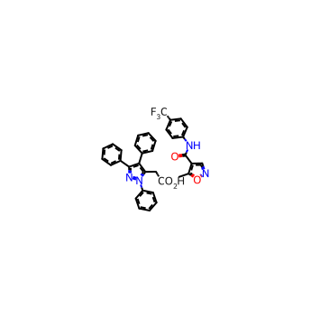 Cc1oncc1C(=O)Nc1ccc(C(F)(F)F)cc1.O=C(O)Cc1c(-c2ccccc2)c(-c2ccccc2)nn1-c1ccccc1